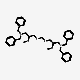 COC(COCOCC(CN(Cc1ccccc1)Cc1ccccc1)OC)CN(Cc1ccccc1)Cc1ccccc1